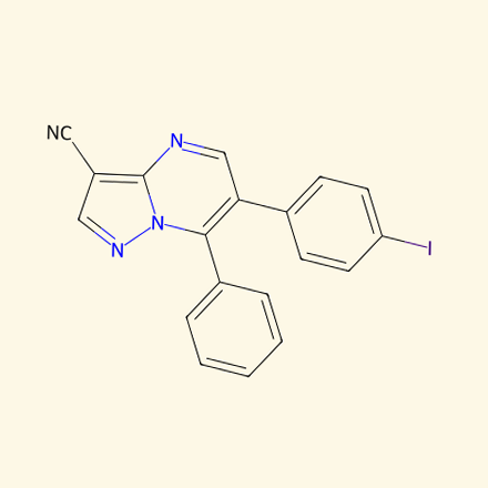 N#Cc1cnn2c(-c3ccccc3)c(-c3ccc(I)cc3)cnc12